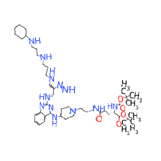 CC(C)(C)OC(=O)N[C@@H](CCC(=O)NCCN1CCC(Nc2nc(NC/C(=C/NCCCNCCCNC3CCCCC3)N=N)nc3ccccc23)CC1)C(=O)OC(C)(C)C